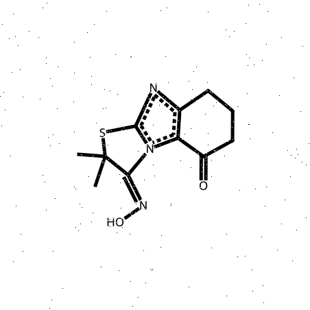 CC1(C)Sc2nc3c(n2C1=NO)C(=O)CCC3